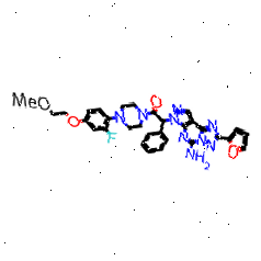 COCCOc1ccc(N2CCN(C(=O)C(c3ccccc3)n3ncc4c3nc(N)n3nc(-c5ccco5)nc43)CC2)c(F)c1